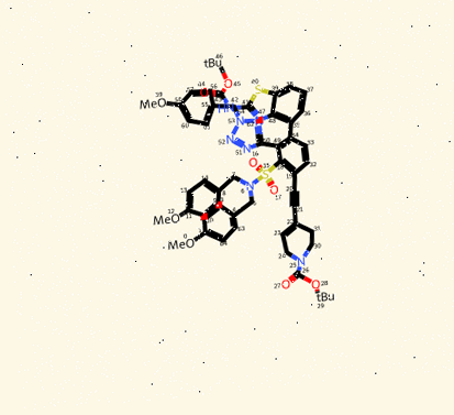 COc1ccc(CN(Cc2ccc(OC)cc2)S(=O)(=O)c2c(C#CC3=CCN(C(=O)OC(C)(C)C)CC3)ccc(-c3cccc4sc(NC(=O)OC(C)(C)C)nc34)c2-c2nnn(Cc3ccc(OC)cc3)n2)cc1